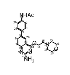 CC(=O)Nc1ccc(-c2ccc3nc(N)nc(OCCN4CCOCC4)c3c2)cc1